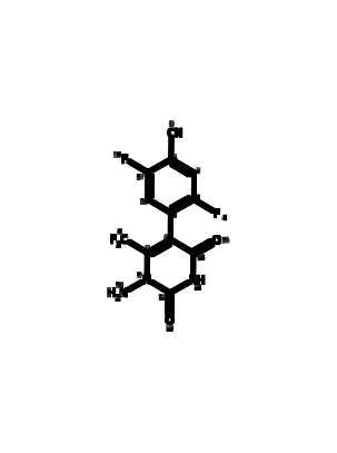 N#Cc1cc(F)c(-c2c(C(F)(F)F)n(N)c(=O)[nH]c2=O)cc1F